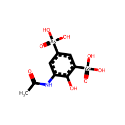 CC(=O)Nc1cc([As](=O)(O)O)cc([As](=O)(O)O)c1O